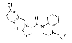 O=C(C1CSCN1Cc1cc(Cl)ccc1Cl)N1CCN(C2CC2)c2ccccc21